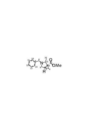 COC(=O)[C@]12C[C@H]1CN(Cc1ccccc1)C2C